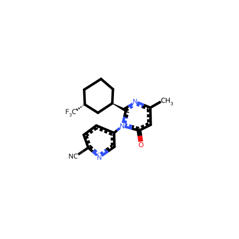 Cc1cc(=O)n(-c2ccc(C#N)nc2)c([C@@H]2CCC[C@@H](C(F)(F)F)C2)n1